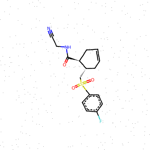 N#CCNC(=O)[C@H]1CC=CC[C@@H]1CS(=O)(=O)c1ccc(F)cc1